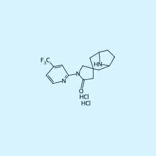 Cl.Cl.O=C1CC2(CC3CCC(C2)N3)CN1c1cc(C(F)(F)F)ccn1